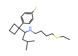 CCSCCCCNC(CC(C)C)C1(c2ccc(F)cc2)CCC1